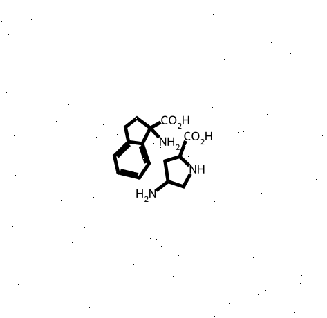 NC1(C(=O)O)CCc2ccccc21.NC1CNC(C(=O)O)C1